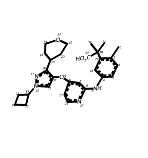 Cc1ccc(Nc2cc(Oc3cn(C4CCC4)nc3C3CCOCC3)ccn2)cc1C(C)(C)C(=O)O